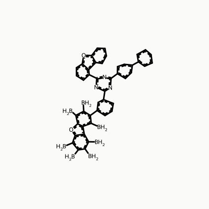 Bc1c(B)c(B)c2c(oc3c(B)c(B)c(-c4cccc(-c5nc(-c6ccc(-c7ccccc7)cc6)nc(-c6cccc7oc8ccccc8c67)n5)c4)c(B)c32)c1B